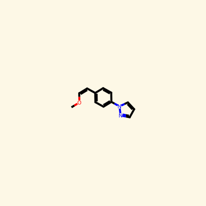 CO/C=C\c1ccc(-n2cccn2)cc1